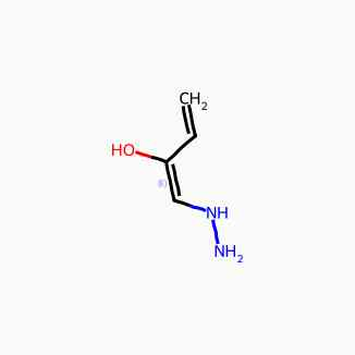 C=C/C(O)=C\NN